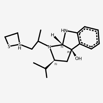 CC(C)[C@@H]1C[C@@]2(O)c3ccccc3N[C@H]2N1C(C)C[SH]1CCS1